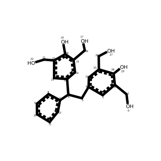 OCc1cc(CC(c2ccccc2)c2cc(CO)c(O)c(CO)c2)cc(CO)c1O